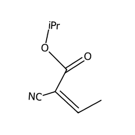 CC=C(C#N)C(=O)OC(C)C